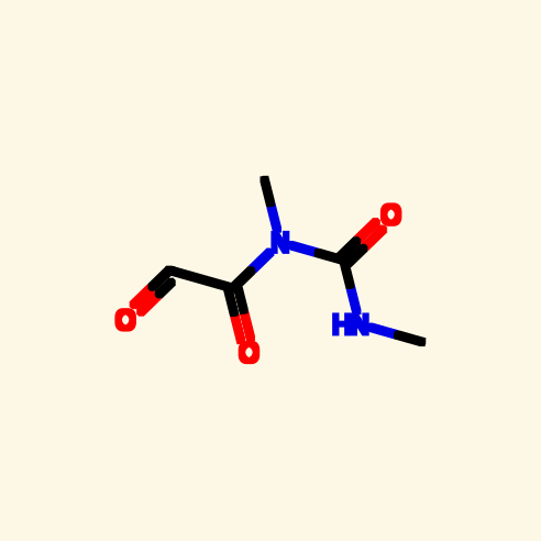 CNC(=O)N(C)C(=O)C=O